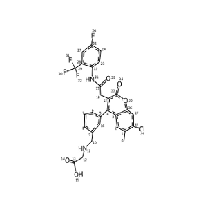 Cc1cc2c(-c3cccc(CNCC(=O)O)c3)c(CC(=O)Nc3ccc(F)cc3C(F)(F)F)c(=O)oc2cc1Cl